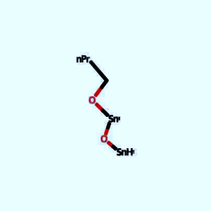 CCCC[O][Sn][O][SnH]